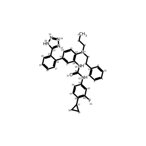 CCCN(CCc1ccccc1)c1ccc(-c2ccccc2-c2nnn[nH]2)cc1NC(=O)Nc1ccc(C2CC2)c(F)c1